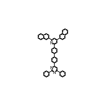 c1ccc(-c2cc(-c3ccc(-c4ccc(-c5cc(-c6ccc7ccccc7c6)cc(-c6ccc7ccccc7c6)n5)cc4)cc3)nc(-c3ccccc3)n2)cc1